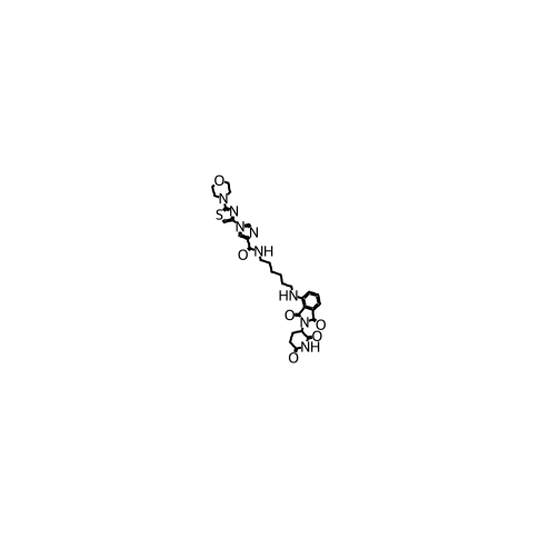 O=C1CCC(N2C(=O)c3cccc(NCCCCCCNC(=O)c4cn(-c5csc(N6CCOCC6)n5)cn4)c3C2=O)C(=O)N1